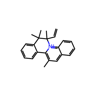 C=CC1(C)[n+]2c(c(C)cc3ccccc32)-c2ccccc2C1(C)C